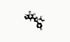 CCC(=O)N1N=C(c2c(C)c3ccsc3[nH]c2=O)CC1c1ccc(F)cc1